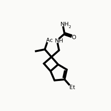 CCC1=CC2C(C1)CC2(CNC(N)=O)C(C)C(C)=O